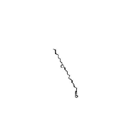 CCCCCCCCOCCCCCCCCCCCC#P=O